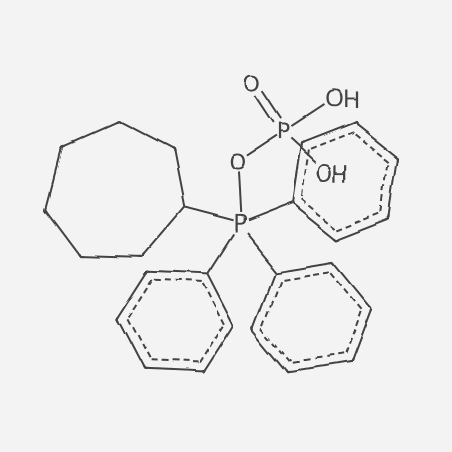 O=P(O)(O)OP(c1ccccc1)(c1ccccc1)(c1ccccc1)C1CCCCCC1